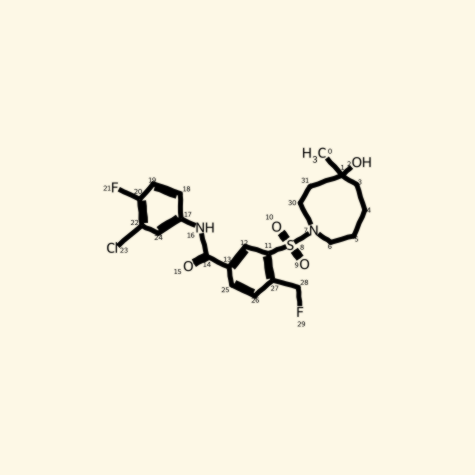 CC1(O)CCCCN(S(=O)(=O)c2cc(C(=O)Nc3ccc(F)c(Cl)c3)ccc2CF)CC1